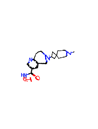 CN1CCC2(CC1)CC(N1CCc3ncc(C(=O)NO)cc3C1)C2